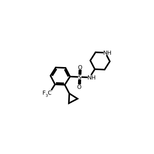 O=S(=O)(NC1CCNCC1)c1cccc(C(F)(F)F)c1C1CC1